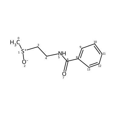 C[S+]([O-])CCNC(=O)c1ccccc1